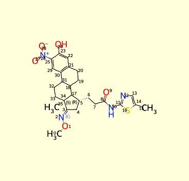 CO/N=C1\C[C@@H](CCC(=O)Nc2ncc(C)s2)C2C3CCc4cc(O)c([N+](=O)[O-])cc4C3CC[C@]12C